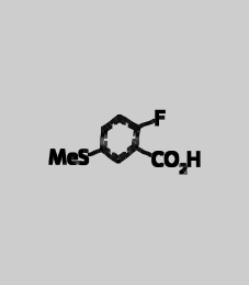 CSc1ccc(F)c(C(=O)O)c1